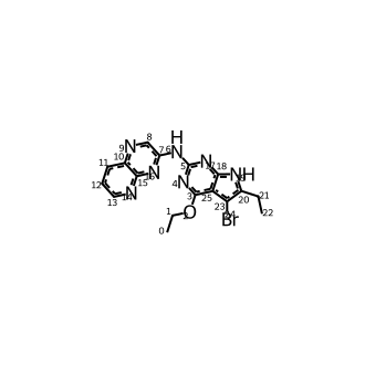 CCOc1nc(Nc2cnc3cccnc3n2)nc2[nH]c(CC)c(Br)c12